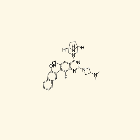 CN(C)C1CN(c2nc(N3C[C@H]4CC[C@@H](C3)N4)c3cc(Cl)c(-c4cc5ccccc5cc4O)c(F)c3n2)C1